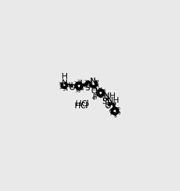 Cl.Cl.O=C(Cc1ccccc1)NC(=S)Nc1ccc(Oc2ccnc3cc(-c4ccc(OC[C@@H]5CCCN5)cc4)sc23)c(F)c1